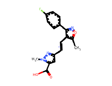 Cc1onc(-c2ccc(F)cc2)c1/C=C/c1cc(C(=O)O)n(C)n1